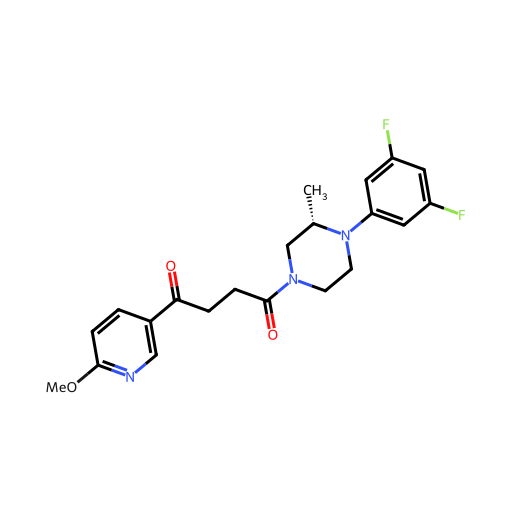 COc1ccc(C(=O)CCC(=O)N2CCN(c3cc(F)cc(F)c3)[C@@H](C)C2)cn1